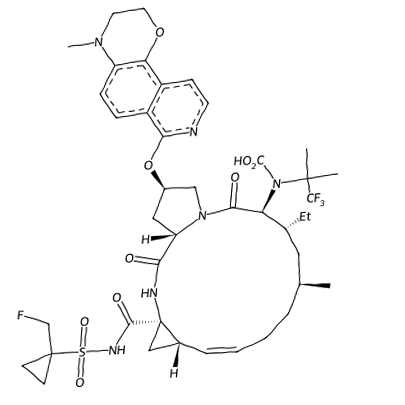 CC[C@@H]1C[C@@H](C)CC/C=C\[C@@H]2C[C@@]2(C(=O)NS(=O)(=O)C2(CF)CC2)NC(=O)[C@@H]2C[C@@H](Oc3nccc4c5c(ccc34)N(C)CCO5)CN2C(=O)[C@H]1N(C(=O)O)C(C)(C)C(F)(F)F